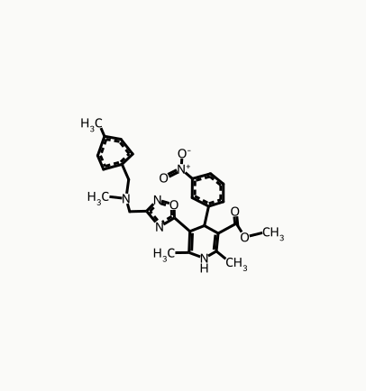 COC(=O)C1=C(C)NC(C)=C(c2nc(CN(C)Cc3ccc(C)cc3)no2)C1c1cccc([N+](=O)[O-])c1